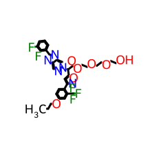 CCCOc1ccc(-c2cc(C(C(=O)OCCOCCOCCO)n3cc4nc(-c5cccc(F)c5F)nc-4cn3)on2)c(C(F)(F)F)c1